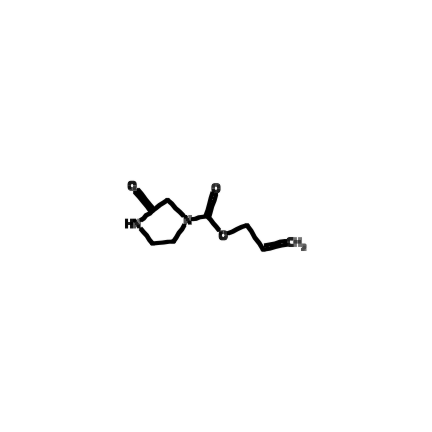 C=CCOC(=O)N1CCNC(=O)C1